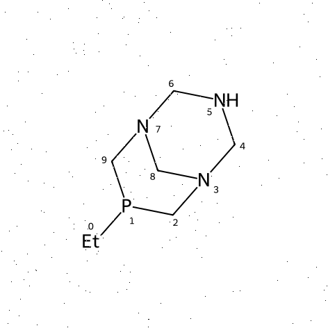 CCP1CN2CNCN(C2)C1